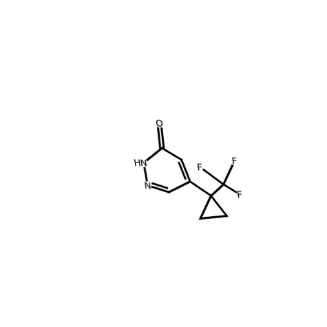 O=c1cc(C2(C(F)(F)F)CC2)cn[nH]1